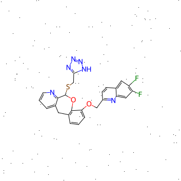 Fc1cc2ccc(COc3cccc4c3OC(SCc3nnn[nH]3)c3ncccc3C4)nc2cc1F